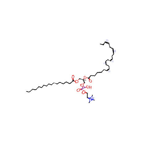 CC/C=C\C/C=C\C/C=C\C/C=C\C/C=C\CCCCCC(=O)O[C@H](COC(=O)CCCCCCCCCCCCCCCC)COP(=O)(O)OCC[N+](C)(C)C